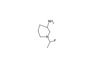 CC(F)N1CCCC(N)C1